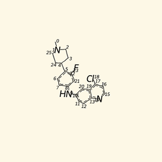 CN1CCC(c2ccc(Nc3ccc4nccc(Cl)c4c3)cc2F)CC1